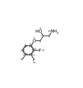 Cc1ccc(OCC(O)CN)c(F)c1F